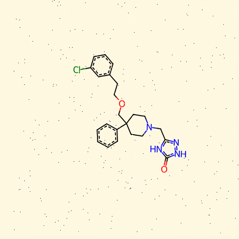 O=c1[nH]nc(CN2CCC(COCCc3cccc(Cl)c3)(c3ccccc3)CC2)[nH]1